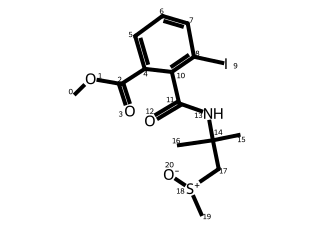 COC(=O)c1cccc(I)c1C(=O)NC(C)(C)C[S+](C)[O-]